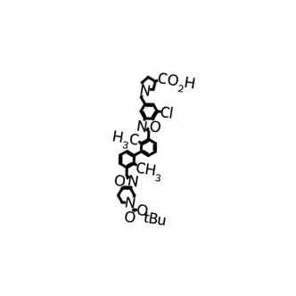 Cc1c(-c2nc3c(o2)CCN(C(=O)OC(C)(C)C)C3)cccc1-c1cccc(-c2nc3cc(CN4CCC(C(=O)O)C4)cc(Cl)c3o2)c1C